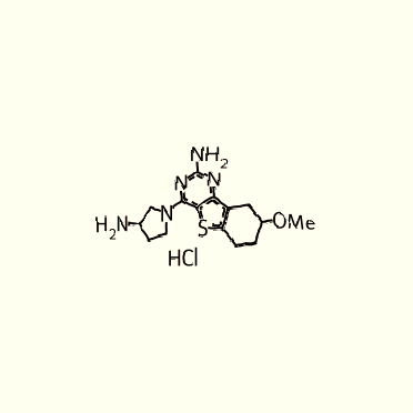 COC1CCc2sc3c(N4CC[C@@H](N)C4)nc(N)nc3c2C1.Cl